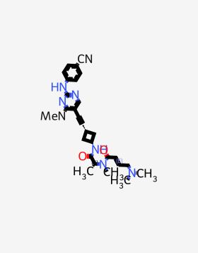 CNc1nc(Nc2ccc(C#N)cc2)ncc1C#C[C@H]1C[C@@H](NC(=O)[C@H](C)N(C)C(=O)/C=C/CN(C)C)C1